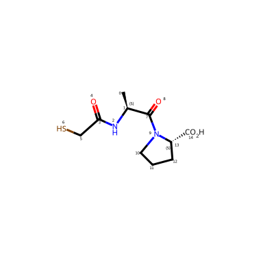 C[C@H](NC(=O)CS)C(=O)N1CCC[C@H]1C(=O)O